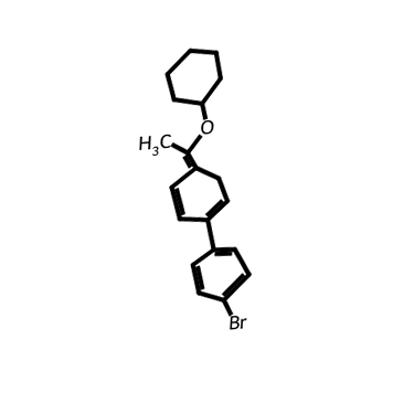 C/C(OC1CCCCC1)=C1\C=CC(c2ccc(Br)cc2)=CC1